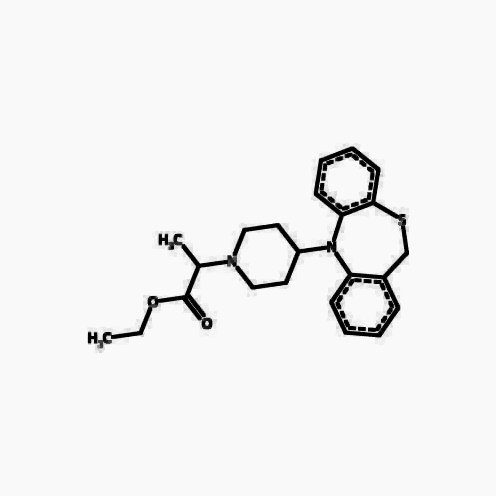 CCOC(=O)C(C)N1CCC(N2c3ccccc3CSc3ccccc32)CC1